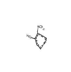 O=[N+]([O-])c1c[c]ccc1O